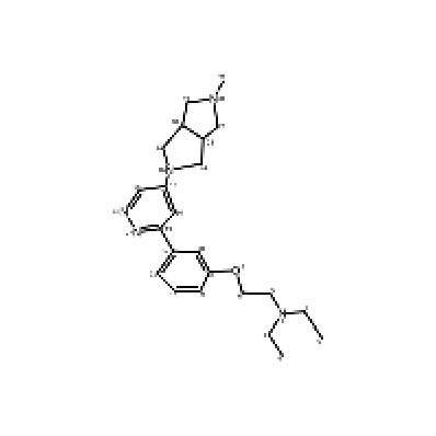 CCN(CC)CCOc1cccc(-c2cc(N3CC4CN(C)CC4C3)cnn2)c1